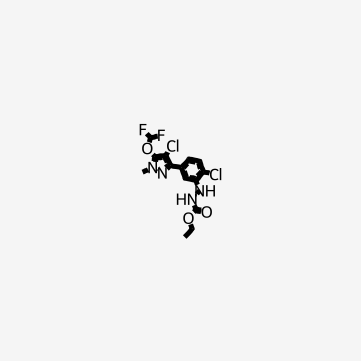 CCOC(=O)NNc1cc(-c2nn(C)c(OC(F)F)c2Cl)ccc1Cl